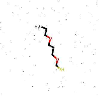 CCCOCCCOCS